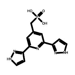 O=P(O)(O)Cc1cc(-c2cc[nH]n2)nc(-c2cc[nH]n2)c1